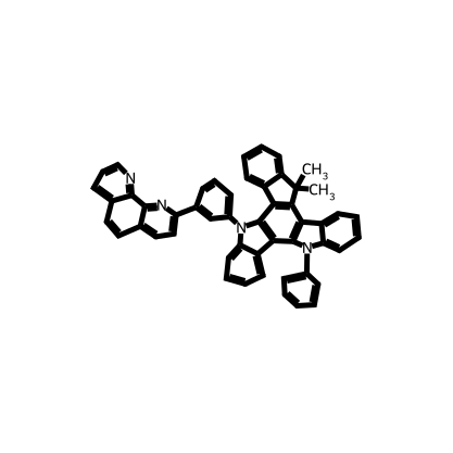 CC1(C)c2ccccc2-c2c1c1c3ccccc3n(-c3ccccc3)c1c1c3ccccc3n(-c3cccc(-c4ccc5ccc6cccnc6c5n4)c3)c21